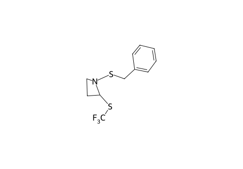 FC(F)(F)SC1CCN1SCc1ccccc1